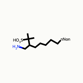 CCCCCCCCCCCCCCC(CN)C(C)(C)S(=O)(=O)O